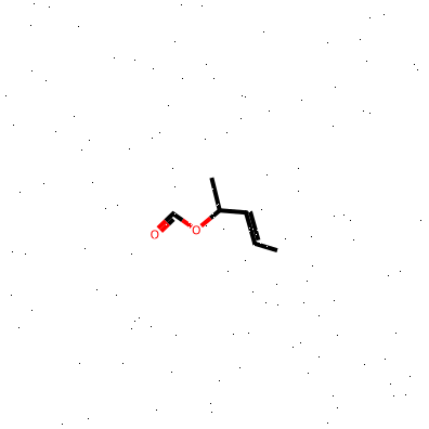 CC=CC(C)OC=O